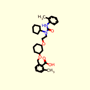 Cc1ccccc1NC(=O)N(CCOC1CCCC(OCc2cccc(C)c2C(=O)O)C1)C1CCCCC1